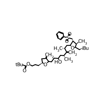 C=C1C[C@H](CCCOC(=O)C(C)(C)C)OC1CCC(O)C[C@@H](C)C(=C)[C@H](C)CC1OC(C[C@H](C)CC)[C@H](C)[C@H]1CS(=O)(=O)c1ccccc1